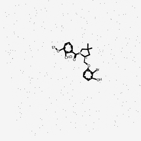 CCOc1cccc(C(=O)N2CC(C)(C)C[C@H]2COc2cccc(O)c2Br)c1C=O